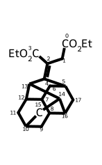 CCOC(=O)C/C(C(=O)OCC)=C1\C2CC3C4CC5CC3C1C(C5)C4C2